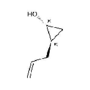 C=CC[C@@H]1C[C@H]1O